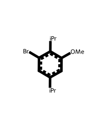 COc1cc(C(C)C)cc(Br)c1C(C)C